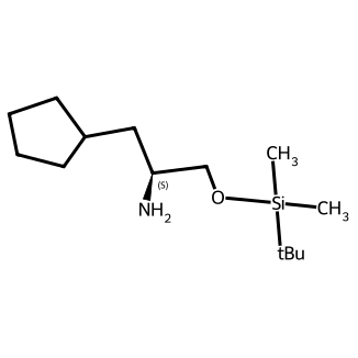 CC(C)(C)[Si](C)(C)OC[C@@H](N)CC1CCCC1